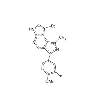 CCc1c[nH]c2ncc3c(-c4ccc(OC)c(F)c4)nn(C)c3c12